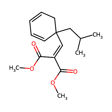 COC(=O)C(=CC1(CC(C)C)C=CC=CC1)C(=O)OC